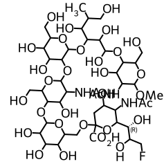 COC1OC(CO)C(OC(O)C(O)C(OC2OC(CO)C(O)C(O)C2OC2OC(CO)C(OC3OC(COC4(C(=O)O)CC(O)C(NC(C)=O)C([C@H](O)C(O)CF)O4)C(O)C(O)C3O)C(O)C2NC(C)=O)C(O)C(C)CO)C(O)C1NC(C)=O